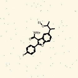 CCOC(C)C(C)c1ccc2oc(-c3ccc(F)cc3)c(C(=O)NC)c2c1